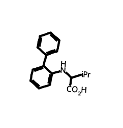 CC(C)C(Nc1ccccc1-c1ccccc1)C(=O)O